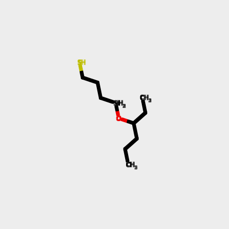 CCCC(CC)O[SiH2]CCCS